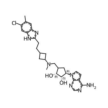 Cc1cc2nc(CCC3CC(N(C)CC4C[C@@H](n5ccc6c(N)ncnc65)[C@H](O)[C@@H]4O)C3)[nH]c2cc1Cl